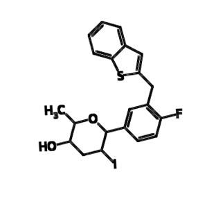 CC1OC(c2ccc(F)c(Cc3cc4ccccc4s3)c2)C(I)CC1O